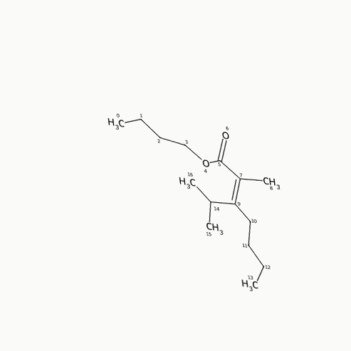 CCCCOC(=O)C(C)=C(CCCC)C(C)C